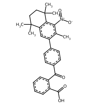 Cc1c(-c2ccc(C(=O)c3ccccc3C(=O)O)cc2)cc2c(c1[N+](=O)[O-])C(C)(C)CCC2(C)C